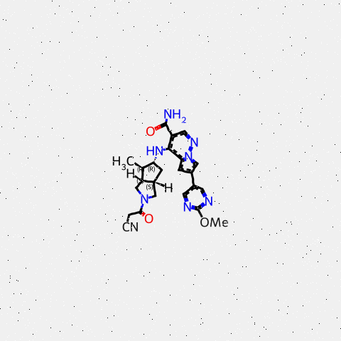 COc1ncc(-c2cc3c(N[C@@H]4C[C@@H]5CN(C(=O)CC#N)C[C@@H]5[C@H]4C)c(C(N)=O)cnn3c2)cn1